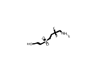 NCC(F)(F)CCS(=O)(=O)CCO